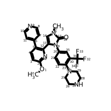 COc1ccc(-c2ccncc2)c(-c2cn(C)c(=O)n2-c2ccc(N3CCNCC3)c(C(F)(F)F)c2)n1